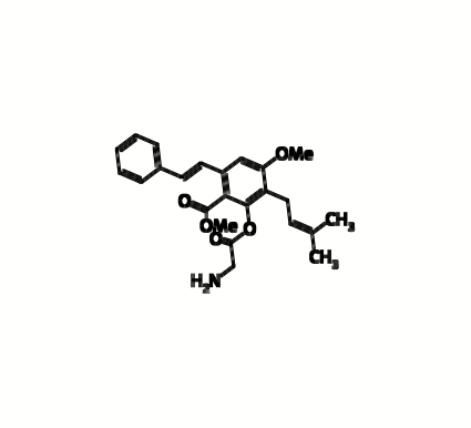 COC(=O)c1c(/C=C/c2ccccc2)cc(OC)c(CC=C(C)C)c1OC(=O)CN